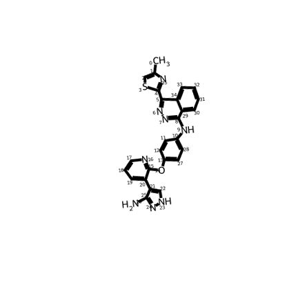 Cc1csc(-c2nnc(Nc3ccc(Oc4ncccc4-c4c[nH]nc4N)cc3)c3ccccc23)n1